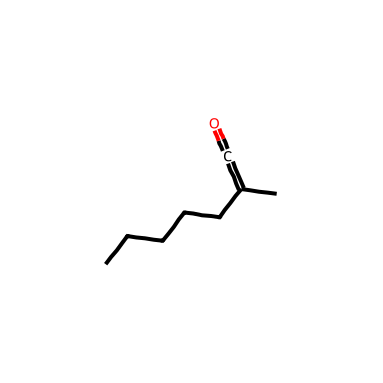 CCCCCC(C)=C=O